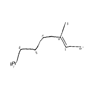 [CH2]C=C(C)CCCC(C)C